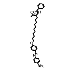 CCCCc1ccc(N=Nc2ccc(OCCCCCCCCCCCC(C=Cc3ccccc3)=C(C)C(=O)O)cc2)cc1